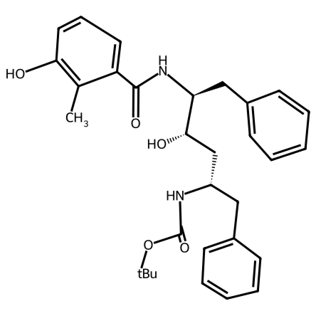 Cc1c(O)cccc1C(=O)N[C@@H](Cc1ccccc1)[C@@H](O)C[C@H](Cc1ccccc1)NC(=O)OC(C)(C)C